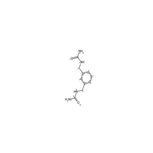 NC(=O)NCc1cccc(CNC(N)=O)c1